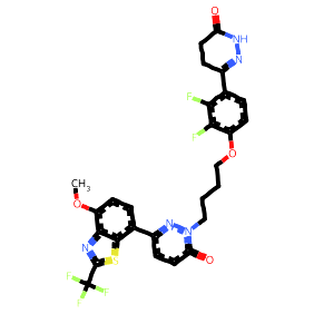 COc1ccc(-c2ccc(=O)n(CCCCOc3ccc(C4=NNC(=O)CC4)c(F)c3F)n2)c2sc(C(F)(F)F)nc12